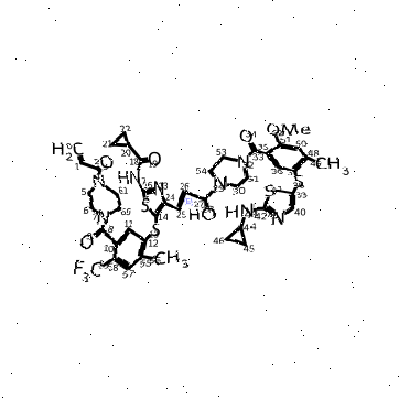 C=CC(=O)N1CCN(C(=O)c2cc(Sc3sc(NC(=O)C4CC4)nc3/C=C/C(O)N3CCN(C(=O)c4cc(Sc5cnc(NC6CC6)s5)c(C)cc4OC)CC3)c(C)cc2C(F)(F)F)CC1